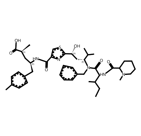 CCC(C)C(NC(=O)C1CCCCN1C)C(=O)N(Cc1ccccc1)[C@H](C[C@@H](O)c1nc(C(=O)N[C@@H](Cc2ccc(C)cc2)C[C@H](C)C(=O)O)cs1)C(C)C